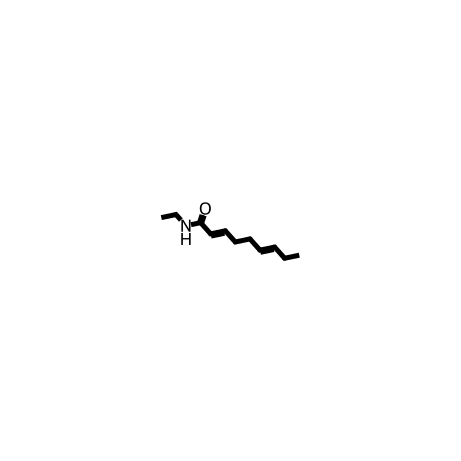 CCC=CCCC=CC(=O)NCC